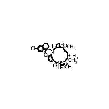 CC[C@H]1C(C)[C@@H](C)/C=C/[C@H](OC)[C@@H]2CC[C@H]2CN2C[C@@]3(CCCc4cc(Cl)ccc43)COc3ccc(cc32)C(=O)NS1(=O)=O